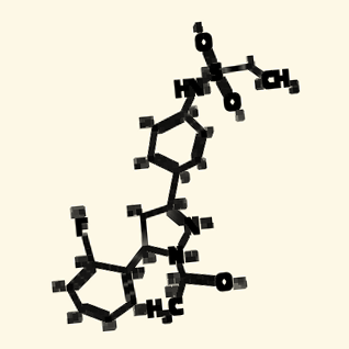 CCS(=O)(=O)Nc1ccc(C2=NN(C(C)=O)C(c3ccccc3F)C2)cc1